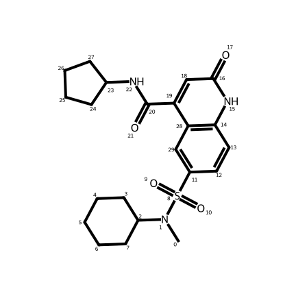 CN(C1CCCCC1)S(=O)(=O)c1ccc2[nH]c(=O)cc(C(=O)NC3CCCC3)c2c1